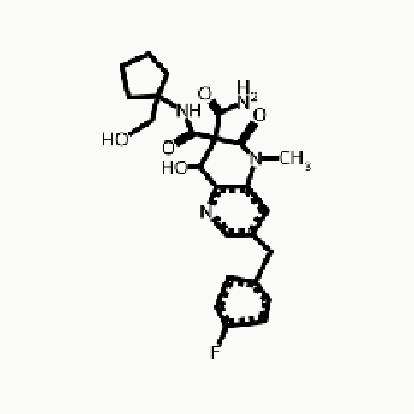 CN1C(=O)C(C(N)=O)(C(=O)NC2(CO)CCCC2)C(O)c2ncc(Cc3ccc(F)cc3)cc21